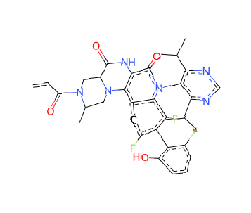 C=CC(=O)N1CC2C(=O)Nc3c(c4cc(F)c(-c5c(O)cccc5F)c(F)c4n(-c4c(C(C)C)ncnc4C(C)C)c3=O)N2CC1C